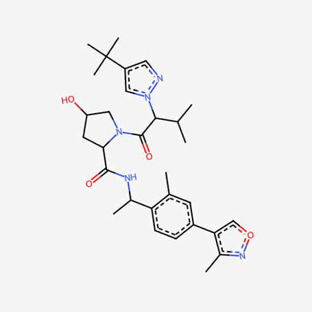 Cc1cc(-c2conc2C)ccc1C(C)NC(=O)C1CC(O)CN1C(=O)C(C(C)C)n1cc(C(C)(C)C)cn1